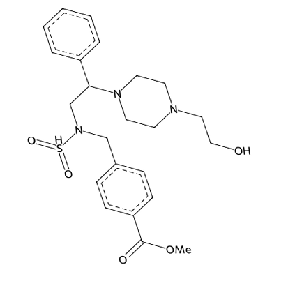 COC(=O)c1ccc(CN(CC(c2ccccc2)N2CCN(CCO)CC2)[SH](=O)=O)cc1